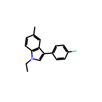 CCn1cc(-c2ccc(F)cc2)c2cc(C)ccc21